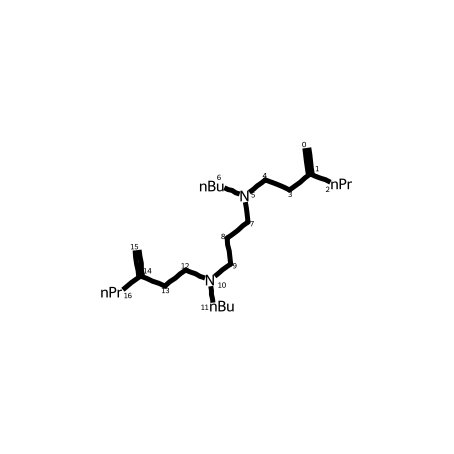 C=C(CCC)CCN(CCCC)CCCN(CCCC)CCC(=C)CCC